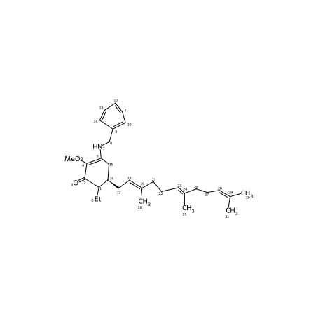 CCC1C(=O)C(OC)=C(NCc2ccccc2)C[C@H]1C/C=C(\C)CC/C=C(\C)CCC=C(C)C